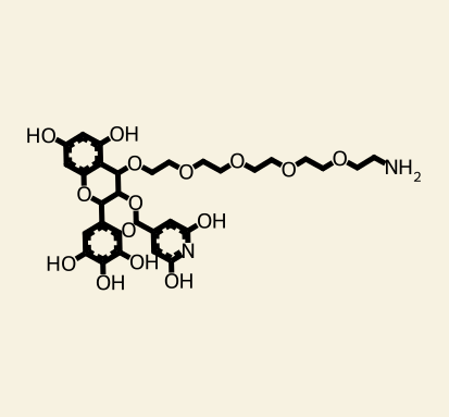 NCCOCCOCCOCCOCCOC1c2c(O)cc(O)cc2OC(c2cc(O)c(O)c(O)c2)C1OC(=O)c1cc(O)nc(O)c1